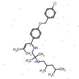 CC(C)=C[C@H](NCC(C)(C)NCC(N)CC(C)C)c1ccc(OCc2ccc(Cl)cc2)cc1